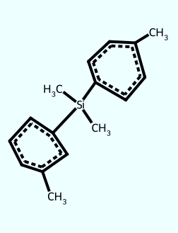 Cc1ccc([Si](C)(C)c2cccc(C)c2)cc1